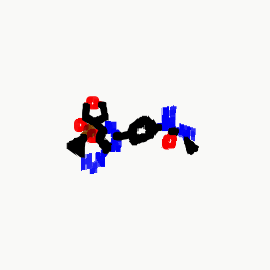 Nc1cc(C2(S(=O)(=O)C3CC3)CCOCC2)nc(-c2ccc(NC(=O)NC3CC3)cc2)n1